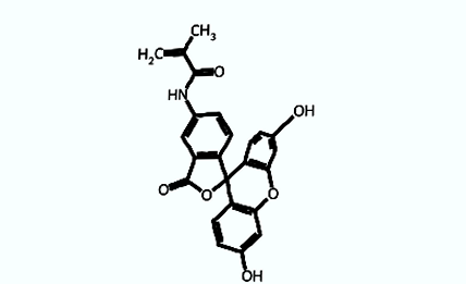 C=C(C)C(=O)Nc1ccc2c(c1)C(=O)OC21c2ccc(O)cc2Oc2cc(O)ccc21